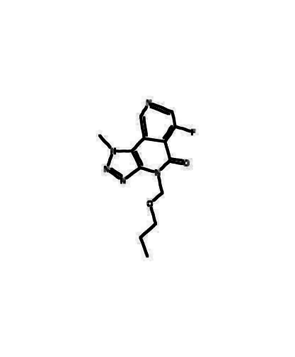 CCCOCn1c(=O)c2c(F)cncc2c2c1nnn2C